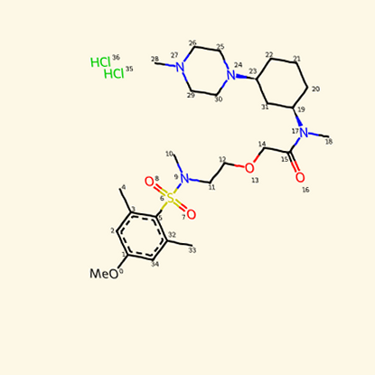 COc1cc(C)c(S(=O)(=O)N(C)CCOCC(=O)N(C)[C@@H]2CCC[C@H](N3CCN(C)CC3)C2)c(C)c1.Cl.Cl